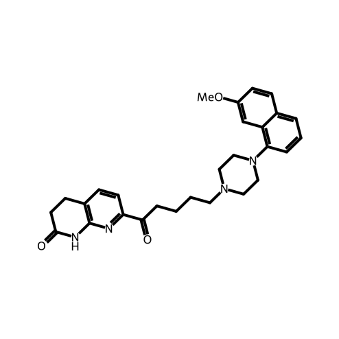 COc1ccc2cccc(N3CCN(CCCCC(=O)c4ccc5c(n4)NC(=O)CC5)CC3)c2c1